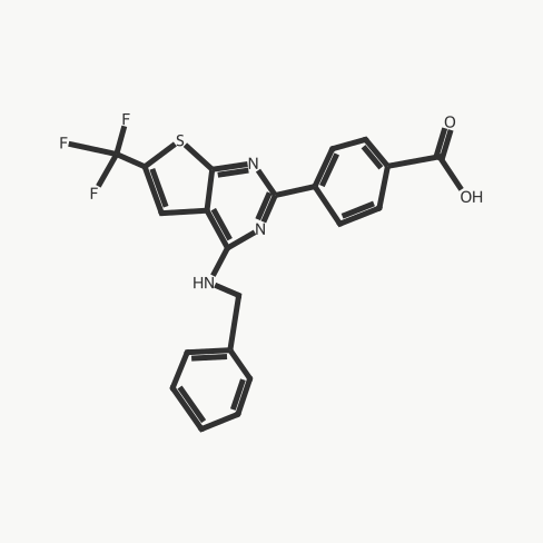 O=C(O)c1ccc(-c2nc(NCc3ccccc3)c3cc(C(F)(F)F)sc3n2)cc1